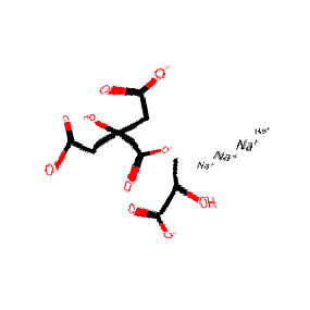 CC(O)C(=O)[O-].O=C([O-])CC(O)(CC(=O)[O-])C(=O)[O-].[Na+].[Na+].[Na+].[Na+]